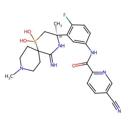 CN1CCC2(CC1)C(=N)N[C@](C)(c1cc(NC(=O)c3ccc(C#N)cn3)ccc1F)CS2(O)O